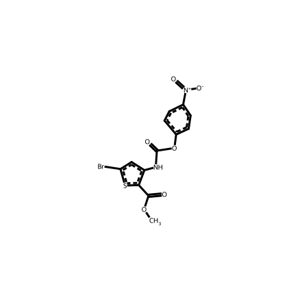 COC(=O)c1sc(Br)cc1NC(=O)Oc1ccc([N+](=O)[O-])cc1